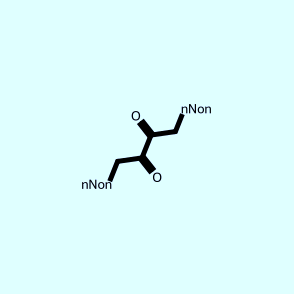 CCCCCCCCCCC(=O)C(=O)CCCCCCCCCC